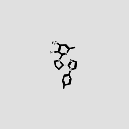 Cc1ccc(-n2ccnc2[C@@H]2CCCN2c2nc(C)cc(C(F)(F)F)c2C#N)cc1